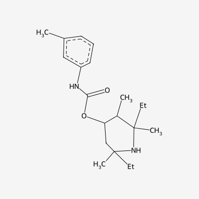 CCC1(C)CC(OC(=O)Nc2cccc(C)c2)C(C)C(C)(CC)N1